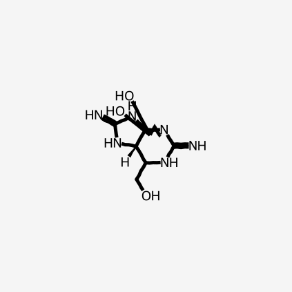 N=C1N[C@H]2C(CO)NC(=N)N3CCC(O)(O)C23N1